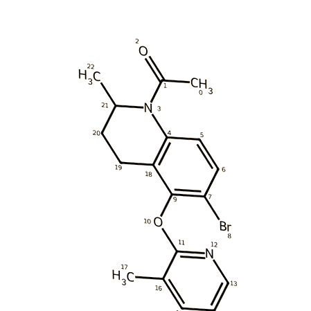 CC(=O)N1c2ccc(Br)c(Oc3ncccc3C)c2CCC1C